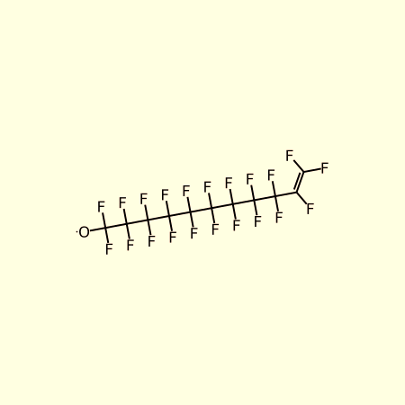 [O]C(F)(F)C(F)(F)C(F)(F)C(F)(F)C(F)(F)C(F)(F)C(F)(F)C(F)(F)C(F)(F)C(F)=C(F)F